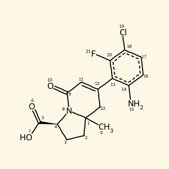 CC12CC[C@@H](C(=O)O)N1C(=O)C=C(c1c(N)ccc(Cl)c1F)C2